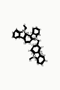 CCn1c2ccccc2c2ccc3c(c4ccccc4n3Cc3ccc4c(c3)c3ccccc3n4C)c21